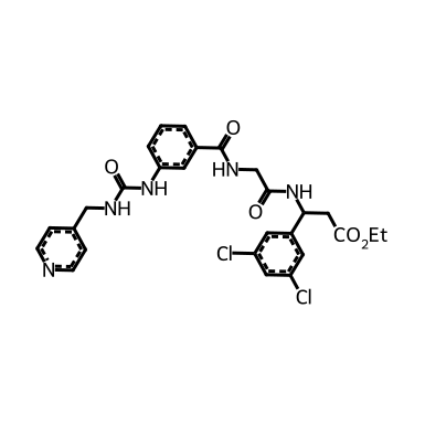 CCOC(=O)CC(NC(=O)CNC(=O)c1cccc(NC(=O)NCc2ccncc2)c1)c1cc(Cl)cc(Cl)c1